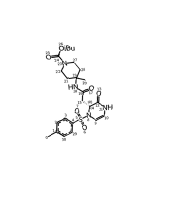 Cc1ccc(S(=O)(=O)N2C=CNC(=O)[C@H]2CC(=O)NC2(C)CCN(C(=O)OCC(C)C)CC2)cc1